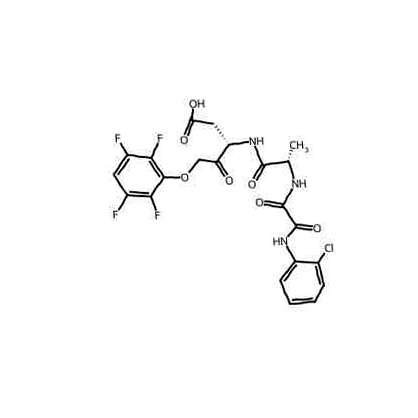 C[C@H](NC(=O)C(=O)Nc1ccccc1Cl)C(=O)N[C@@H](CC(=O)O)C(=O)COc1c(F)c(F)cc(F)c1F